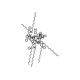 CCCCCCCCCCC[C@H](CC(=O)N[C@H]1[C@@H](OC[C@H](NC(=O)C[C@@H](CCCCCCCCCCC)OC(=O)CCCCC)C(=O)O)O[C@H](CO)[C@@H](OP(=O)(O)O)[C@@H]1OC(=O)C[C@@H](CCCCCCCCCCC)OC(=O)CCCCCCCCC)OC(=O)CCCCCCCCC